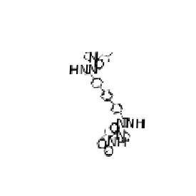 COC(=O)N[C@H](C(=O)N1CCC[C@H]1c1nc(-c2ccc(-c3ccc(-c4ccc(-c5c[nH]c([C@@H]6CCCN6C(=O)CC(C)C)n5)cc4)cc3)cc2)c[nH]1)C(C)C